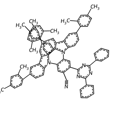 Cc1ccc(-c2ccc3c(c2)c2cc(-c4ccc(C)cc4C)ccc2n3-c2cc(C#N)c(-c3nc(-c4ccccc4)nc(-c4ccccc4)n3)cc2-n2c3ccc(-c4ccc(C)cc4C)cc3c3cc(-c4ccc(C)cc4C)ccc32)c(C)c1